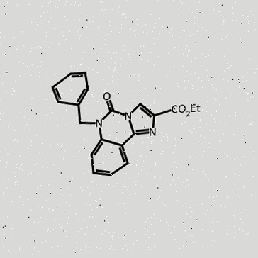 CCOC(=O)c1cn2c(=O)n(Cc3ccccc3)c3ccccc3c2n1